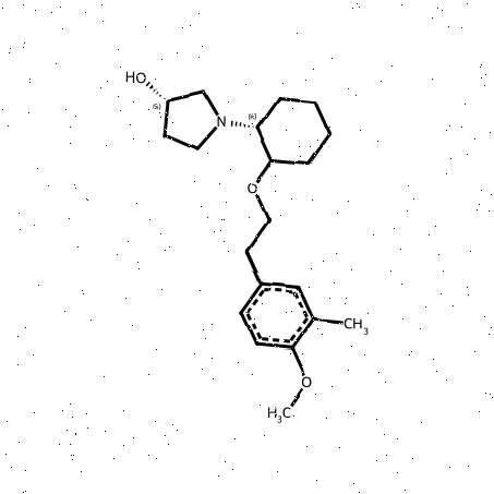 COc1ccc(CCOC2CCCC[C@H]2N2CC[C@H](O)C2)cc1C